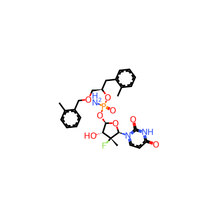 Cc1ccccc1COC[C@@H](Cc1ccccc1C)OP(N)(=O)O[C@H]1O[C@@H](n2ccc(=O)[nH]c2=O)[C@](C)(F)[C@@H]1O